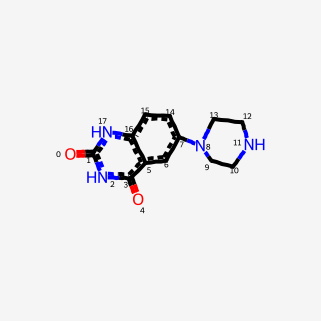 O=c1[nH]c(=O)c2cc(N3CCNCC3)ccc2[nH]1